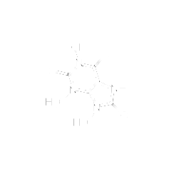 Cn1c(=O)c2[nH]c(=O)n(C)c2n(C)c1=O